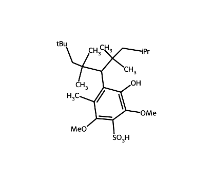 COc1c(C)c(C(C(C)(C)CC(C)C)C(C)(C)CC(C)(C)C)c(O)c(OC)c1S(=O)(=O)O